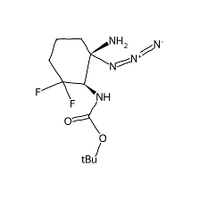 CC(C)(C)OC(=O)N[C@H]1C(F)(F)CCC[C@]1(N)N=[N+]=[N-]